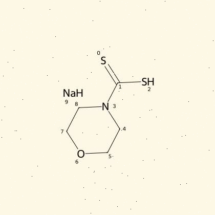 S=C(S)N1CCOCC1.[NaH]